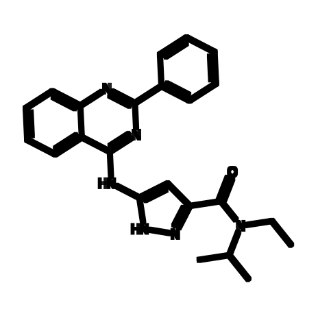 CCN(C(=O)c1cc(Nc2nc(-c3ccccc3)nc3ccccc23)[nH]n1)C(C)C